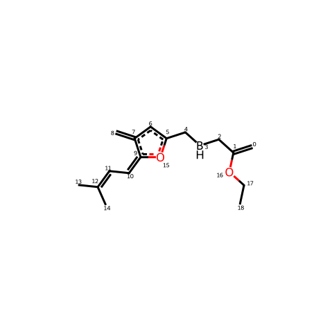 C=C(CBCc1cc(=C)/c(=C\C=C(C)C)o1)OCC